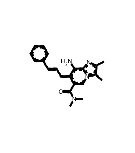 Cc1nc2c(N)c(CC=Cc3ccccc3)c(C(=O)N(C)C)cn2c1C